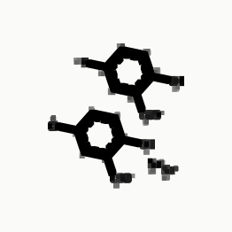 O=C([O-])c1cc(Cl)ccc1O.O=C([O-])c1cc(F)ccc1O.[Na+].[Na+]